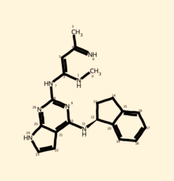 CN/C(=C\C(C)=N)Nc1nc(N[C@H]2CCc3ccccc32)c2cc[nH]c2n1